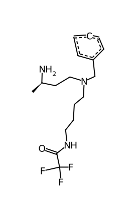 C[C@@H](N)CCN(CCCCNC(=O)C(F)(F)F)Cc1ccccc1